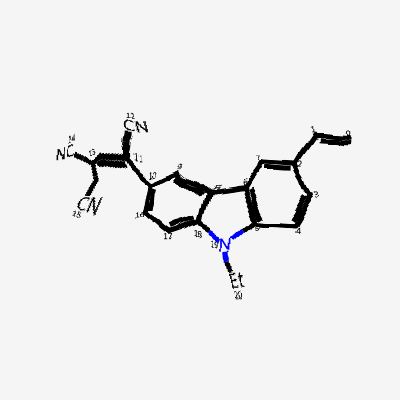 C=Cc1ccc2c(c1)c1cc(C(C#N)=C(C#N)C#N)ccc1n2CC